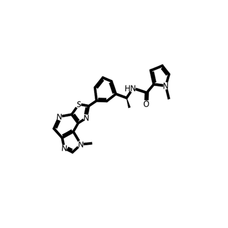 C[C@H](NC(=O)c1cccn1C)c1cccc(-c2nc3c(ncc4ncn(C)c43)s2)c1